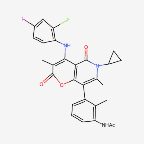 CC(=O)Nc1cccc(-c2c(C)n(C3CC3)c(=O)c3c(Nc4ccc(I)cc4F)c(C)c(=O)oc23)c1C